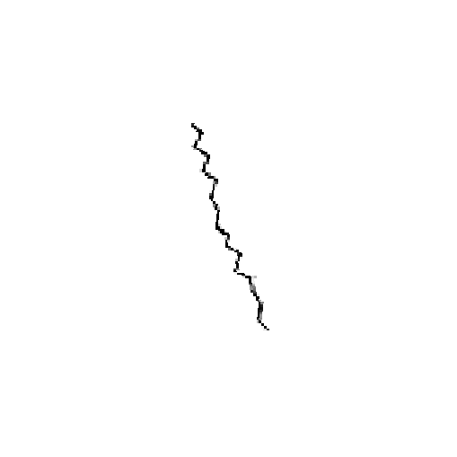 CCCC[CH]CCCC=CCCCCCCCC